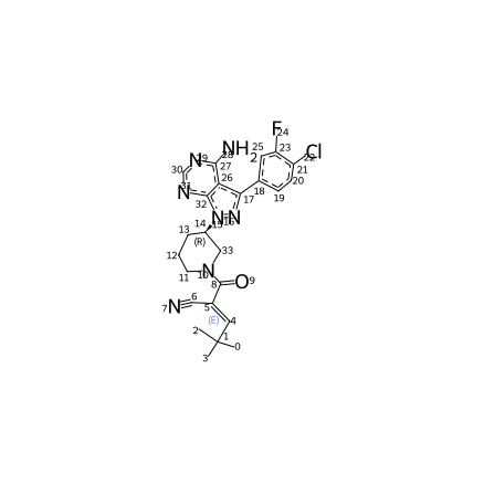 CC(C)(C)/C=C(\C#N)C(=O)N1CCC[C@@H](n2nc(-c3ccc(Cl)c(F)c3)c3c(N)ncnc32)C1